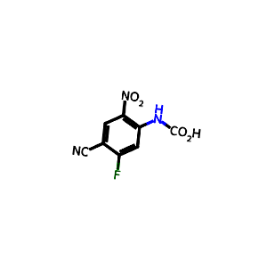 N#Cc1cc([N+](=O)[O-])c(NC(=O)O)cc1F